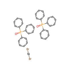 O=P(c1ccccc1)(c1ccccc1)c1ccccc1.O=P(c1ccccc1)(c1ccccc1)c1ccccc1.[Br][Ni][Br]